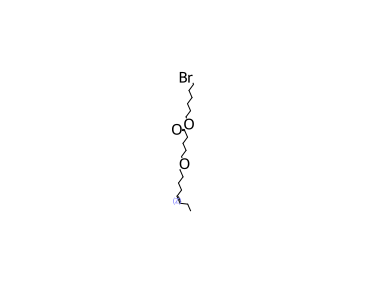 CC/C=C\CCCCOCCCCC(=O)OCCCCCCBr